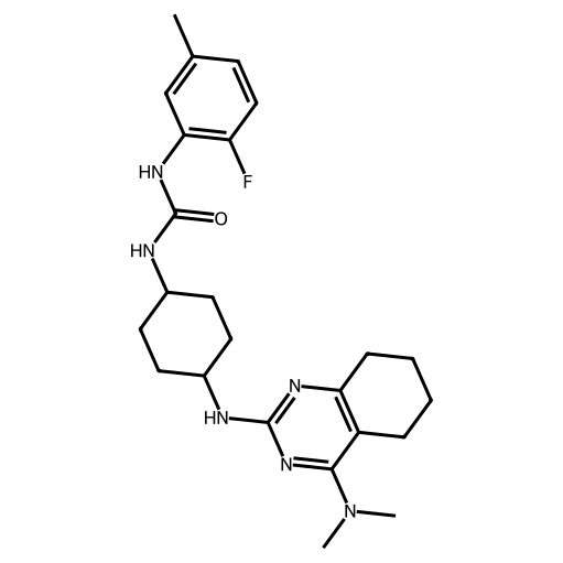 Cc1ccc(F)c(NC(=O)NC2CCC(Nc3nc4c(c(N(C)C)n3)CCCC4)CC2)c1